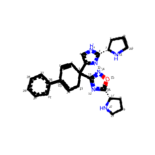 C1=CC(c2c[nH]c([C@@H]3CCCN3)n2)(c2noc([C@@H]3CCCN3)n2)CC=C1c1ccccc1